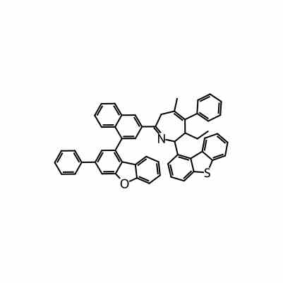 CCC1C(c2ccccc2)=C(C)CC(c2cc(-c3cc(-c4ccccc4)cc4oc5ccccc5c34)c3ccccc3c2)=NC1c1cccc2sc3ccccc3c12